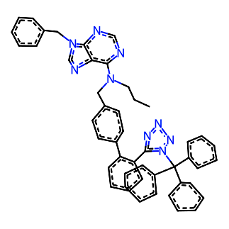 CCCN(Cc1ccc(-c2ccccc2-c2nnnn2C(c2ccccc2)(c2ccccc2)c2ccccc2)cc1)c1ncnc2c1ncn2Cc1ccccc1